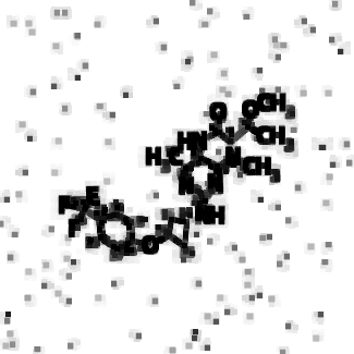 CO[C@@H](C)[C@H]1C(=O)Nc2c(C)nc(N[C@H]3C[C@H](Oc4ccc(C(F)(F)F)cc4)C3)nc2N1C